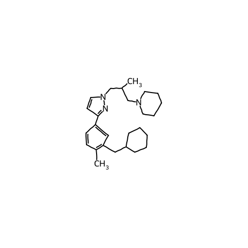 Cc1ccc(-c2ccn(CC(C)CN3CCCCC3)n2)cc1CC1CCCCC1